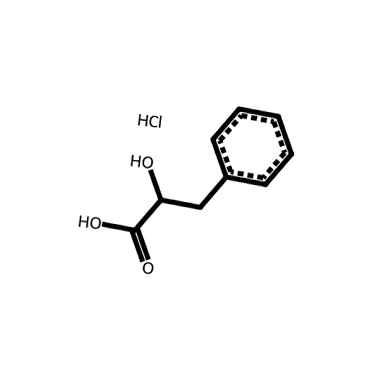 Cl.O=C(O)C(O)Cc1ccccc1